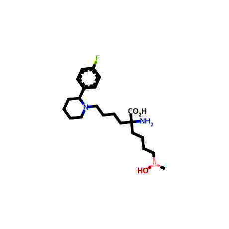 CB(O)CCCCC(N)(CCCCN1CCCCC1c1ccc(F)cc1)C(=O)O